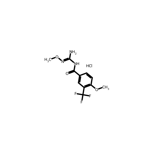 CON=C(N)NC(=O)c1ccc(OC)c(C(F)(F)F)c1.Cl